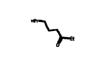 [CH2]CC(=O)CCCCCC